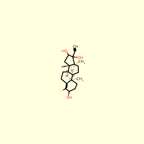 C#CC1(O)C(O)C[C@H]2[C@@H]3CCC4=C(F)C(O)CC[C@]4(C)[C@@H]3CC[C@@]21C